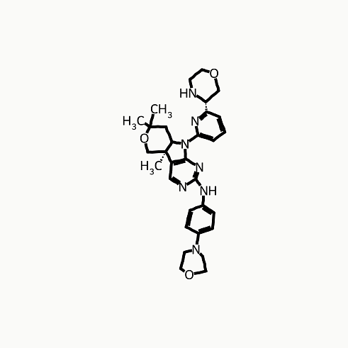 CC1(C)CC2N(c3cccc([C@H]4COCCN4)n3)c3nc(Nc4ccc(N5CCOCC5)cc4)ncc3[C@@]2(C)CO1